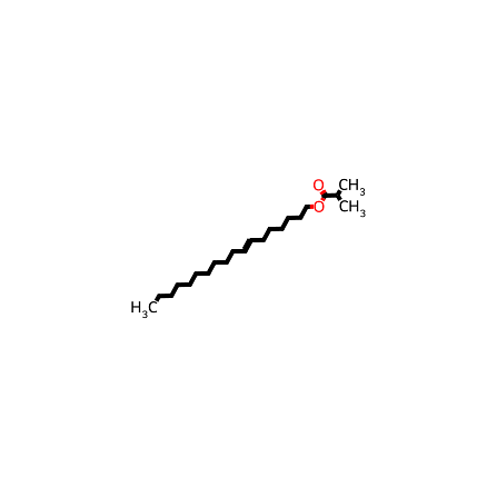 CCCCCCCCCCC=CCCCCCCOC(=O)C(C)C